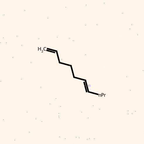 C=CCCC/C=C/CCC